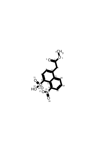 COC(=O)Cc1ccc(S(=O)(=O)O)c2c([N+](=O)[O-])cccc12